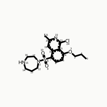 CCCOc1ccc(S(=O)(=O)N2CCCNCC2)c2cc(I)nc(Cl)c12